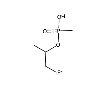 CC(C)CC(C)OP(C)(=O)O